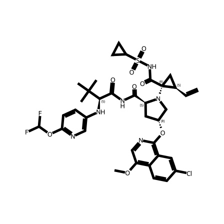 C=C[C@@H]1C[C@@]1(C(=O)NS(=O)(=O)C1CC1)N1C[C@H](Oc2ncc(OC)c3ccc(Cl)cc23)C[C@H]1C(=O)NC(=O)[C@@H](Nc1ccc(OC(F)F)nc1)C(C)(C)C